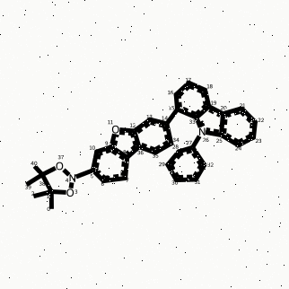 CC1(C)ON(c2ccc3c(c2)oc2cc(-c4cccc5c6ccccc6n(-c6ccccc6)c45)ccc23)OC1(C)C